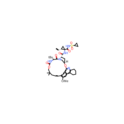 C=C[C@@H]1C[C@]1(NC(=O)[C@@H]1C[C@@H]2CN1C(=O)[C@H](C(C)(C)C)NC(=O)OCC(C)(C)CC=Cc1cc3c(nc4c(c3cc1OC)CCCC4)O2)C(=O)NS(=O)(=O)C1CC1